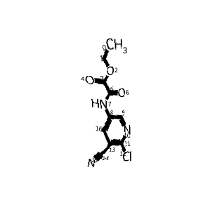 CCOC(=O)C(=O)Nc1cnc(Cl)c(C#N)c1